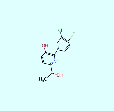 CC(O)c1ccc(O)c(-c2ccc(F)c(Cl)c2)n1